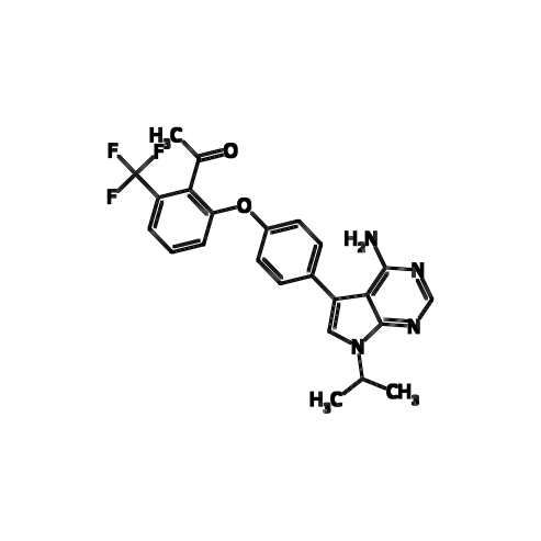 CC(=O)c1c(Oc2ccc(-c3cn(C(C)C)c4ncnc(N)c34)cc2)cccc1C(F)(F)F